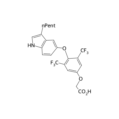 CCCCCc1c[nH]c2ccc(Oc3c(C(F)(F)F)cc(OCC(=O)O)cc3C(F)(F)F)cc12